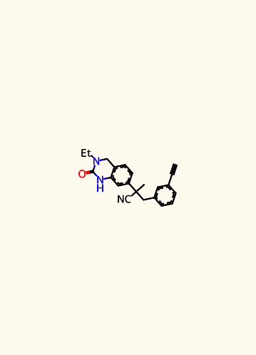 C#Cc1cccc(CC(C)(C#N)c2ccc3c(c2)NC(=O)N(CC)C3)c1